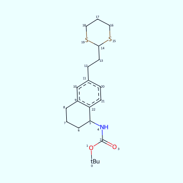 CC(C)(C)OC(=O)NC1CCCc2cc(CCC3SCCCS3)ccc21